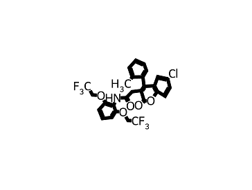 Cc1ccccc1-c1c(CC(=O)Nc2c(OCC(F)(F)F)cccc2OCC(F)(F)F)c(=O)oc2ccc(Cl)cc12